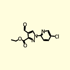 CCOC(=O)c1nn(-c2ccc(Cl)cn2)cc1C=O